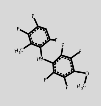 COc1c(F)c(F)c(Bc2c(F)cc(F)c(F)c2C)c(F)c1F